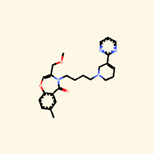 COCC1=COc2ccc(C)cc2C(=O)N1CCCCN1CCC=C(c2ncccn2)C1